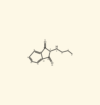 CCCNN1C(=O)c2ccccc2C1=O